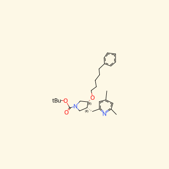 Cc1cc(C)nc(C[C@@H]2CN(C(=O)OC(C)(C)C)C[C@@H]2OCCCCCc2ccccc2)c1